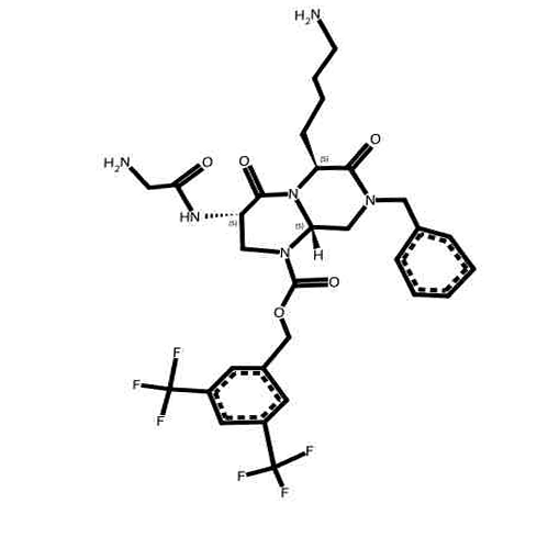 NCCCC[C@H]1C(=O)N(Cc2ccccc2)C[C@@H]2N(C(=O)OCc3cc(C(F)(F)F)cc(C(F)(F)F)c3)C[C@H](NC(=O)CN)C(=O)N21